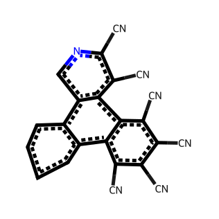 N#Cc1ncc2c3ccccc3c3c(C#N)c(C#N)c(C#N)c(C#N)c3c2c1C#N